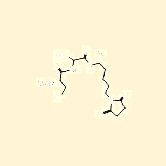 CN[C@@H](CC(C)C)C(=O)NC(C)C(=O)N[C@@H](CCCCN1C(=O)CCC1=O)C(C)=O